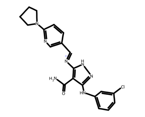 NC(=O)c1c(Nc2cccc(Cl)c2)n[nH]c1/N=C/c1ccc(N2CCCC2)nc1